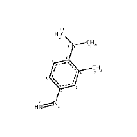 Cc1cc(N=N)ccc1N(C)C